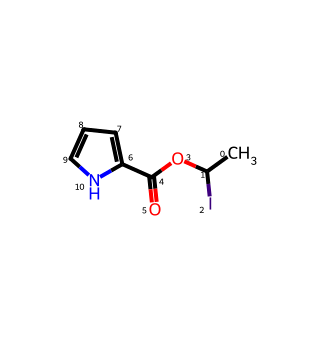 CC(I)OC(=O)c1ccc[nH]1